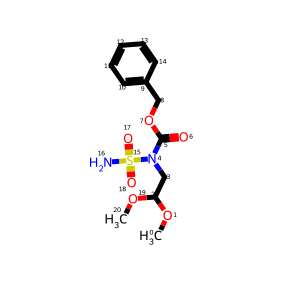 COC(CN(C(=O)OCc1ccccc1)S(N)(=O)=O)OC